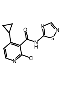 O=C(Nc1ncns1)c1c(C2CC2)ccnc1Cl